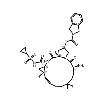 N[C@H]1CCC(F)(F)CC/C=C\[C@@H]2C[C@@]2(C(=O)NS(=O)(=O)C2CC2)NC(=O)[C@@H]2C[C@@H](OC(=O)N3Cc4ccccc4C3)CN2C1=O